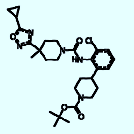 CC(C)(C)OC(=O)N1CCC(c2cccc(Cl)c2NC(=O)N2CCC(C)(c3noc(C4CC4)n3)CC2)CC1